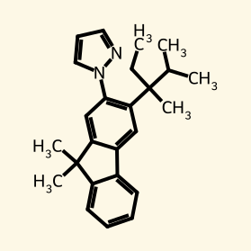 CCC(C)(c1cc2c(cc1-n1cccn1)C(C)(C)c1ccccc1-2)C(C)C